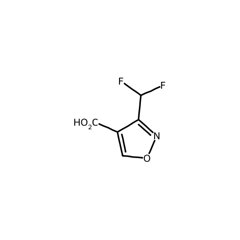 O=C(O)c1conc1C(F)F